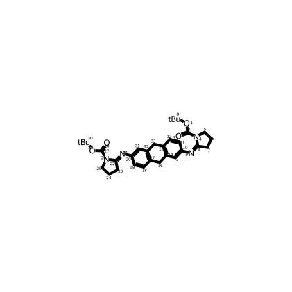 CC(C)(C)OC(=O)N1CCC/C1=N/c1ccc2c(c1)Cc1ccc(/N=C3\CCCN3C(=O)OC(C)(C)C)cc1C2